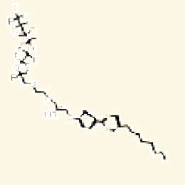 CCCCCCCCc1cnc(-c2ccc(OC[C@@H](O)COCCOCC(F)(F)OC(F)(F)C(F)(F)OC(F)(F)C(F)(F)C(F)(F)C(F)(F)F)cc2)nc1